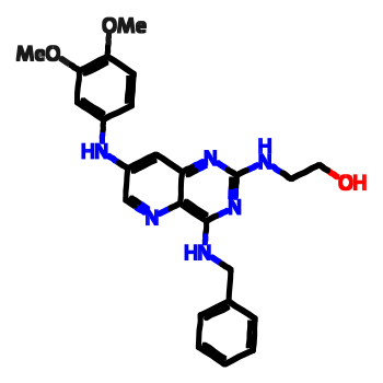 COc1ccc(Nc2cnc3c(NCc4ccccc4)nc(NCCO)nc3c2)cc1OC